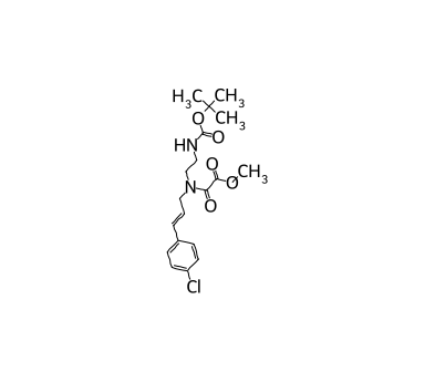 COC(=O)C(=O)N(C/C=C/c1ccc(Cl)cc1)CCNC(=O)OC(C)(C)C